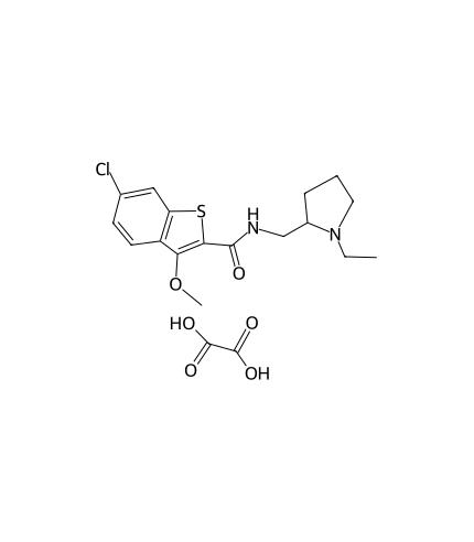 CCN1CCCC1CNC(=O)c1sc2cc(Cl)ccc2c1OC.O=C(O)C(=O)O